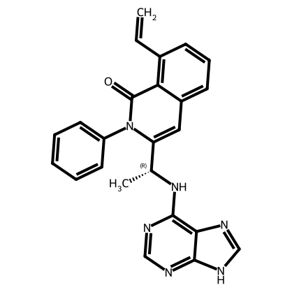 C=Cc1cccc2cc([C@@H](C)Nc3ncnc4[nH]cnc34)n(-c3ccccc3)c(=O)c12